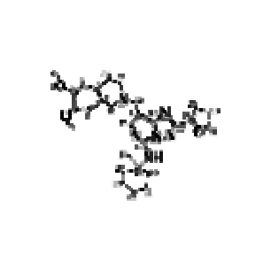 COc1cc2c(cc1OC)CN(Cc1cnc(NC3(C)CCCCC3)n3nc(-c4ccco4)nc13)CC2